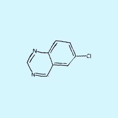 Clc1ccc2ncn[c]c2c1